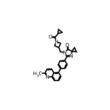 Cc1ccc2c(-c3ccc(C4=NC5(CC5)C(=O)N4CC4CN(C(=O)C5CC5)C4)cc3)cccc2n1